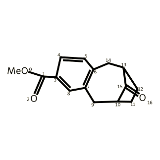 COC(=O)c1ccc2c(c1)CC1CCC(C2)C1=O